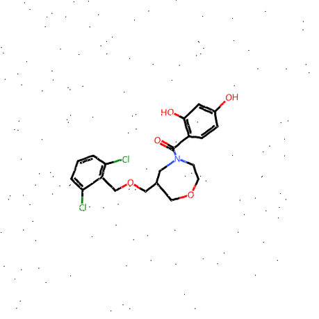 O=C(c1ccc(O)cc1O)N1CCOCC(COCc2c(Cl)cccc2Cl)C1